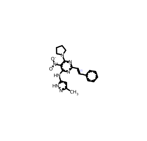 Cc1cc(Nc2nc(/C=C/c3ccccc3)nc(N3CCCC3)c2[N+](=O)[O-])[nH]n1